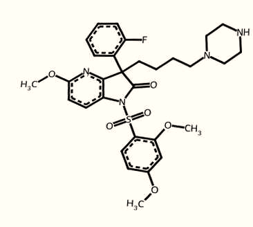 COc1ccc(S(=O)(=O)N2C(=O)C(CCCCN3CCNCC3)(c3ccccc3F)c3nc(OC)ccc32)c(OC)c1